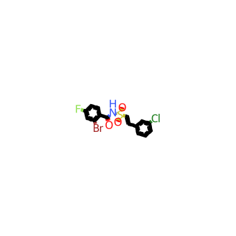 O=C(NS(=O)(=O)C=Cc1cccc(Cl)c1)c1ccc(F)cc1Br